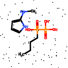 CCCCP(=O)(O)P(=O)(O)O.CNc1ccc[nH]1